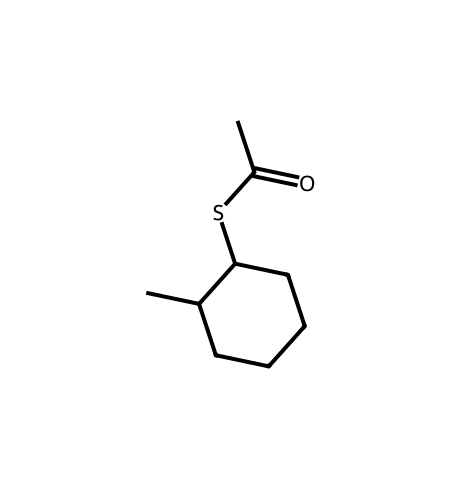 CC(=O)SC1CCCCC1C